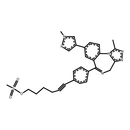 Cc1nnc2n1-c1ccc(-c3cnn(C)c3)cc1C(c1ccc(C#CCCCCOS(C)(=O)=O)cc1)=NC2